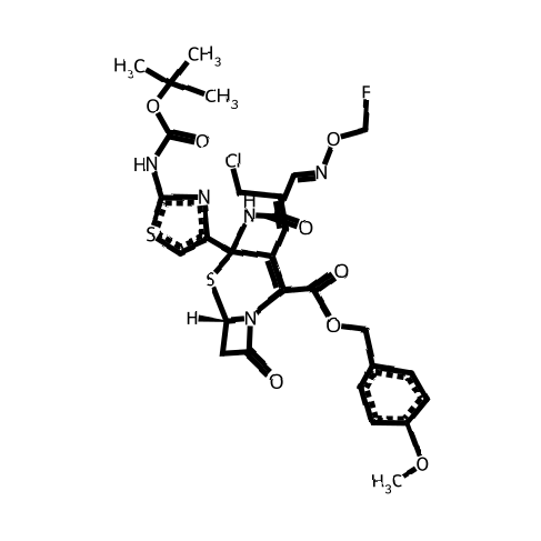 COc1ccc(COC(=O)C2=C(/C=C\CCl)C(NC(=O)C=NOCF)(c3csc(NC(=O)OC(C)(C)C)n3)S[C@H]3CC(=O)N23)cc1